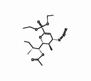 CCOP(=O)(OCC)C1=C[C@H](N=[N+]=[N-])[C@@H](C)[C@H]([C@H](OC(C)=O)[C@H](C)CC)O1